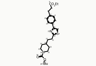 CCOC(=O)CCc1ccc(-c2csc(CCC3CCN(C(=O)OC(C)(C)C)CC3)n2)cc1